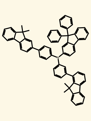 CC1(C)c2ccccc2-c2ccc(-c3ccc(N(c4cccc(-c5cccc6c5C(C)(C)c5ccccc5-6)c4)c4ccc5c(c4)C(c4ccccc4)(c4ccccc4)c4ccccc4-5)cc3)cc21